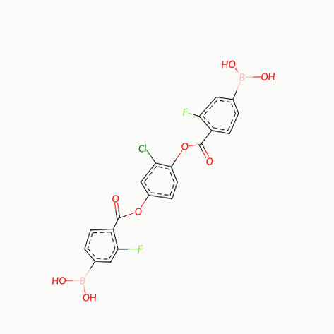 O=C(Oc1ccc(OC(=O)c2ccc(B(O)O)cc2F)c(Cl)c1)c1ccc(B(O)O)cc1F